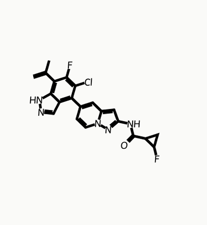 C=C(C)c1c(F)c(Cl)c(-c2ccn3nc(NC(=O)C4CC4F)cc3c2)c2cn[nH]c12